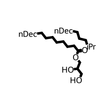 CCCCCCCCCCCCCC(C)C.CCCCCCCCCCCCCCCCCC(=O)OCC(O)CO